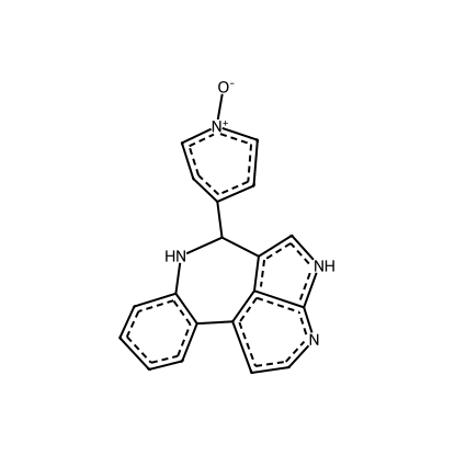 [O-][n+]1ccc(C2Nc3ccccc3-c3ccnc4[nH]cc2c34)cc1